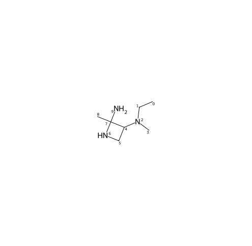 CCN(C)C1CNC1(C)N